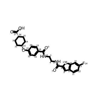 O=C(NCCNC(=O)c1cc2ccc(F)cc2s1)c1ccc(O[C@H]2CC[C@@H](C(=O)O)CC2)cc1